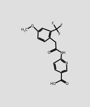 COc1ccc(CC(=O)Nc2ccc(C(=O)O)cn2)c(C(F)(F)F)c1